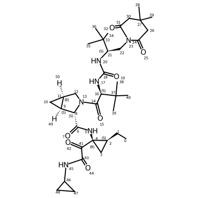 CC[C@H]1C[C@]1(NC(=O)[C@@H]1[C@H]2C[C@H]2CN1C(=O)[C@@H](NC(=O)N[C@H](CN1C(=O)CC(C)(C)CC1=O)C(C)(C)C)C(C)(C)C)C(=O)C(=O)NC1CC1